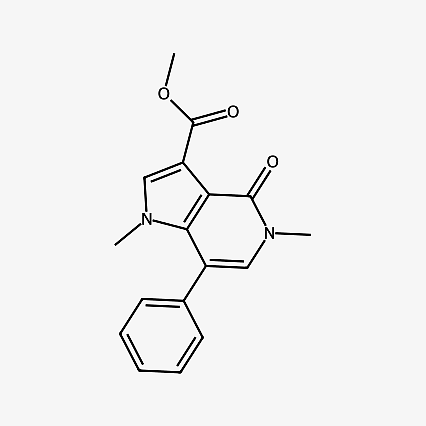 COC(=O)c1cn(C)c2c(-c3ccccc3)cn(C)c(=O)c12